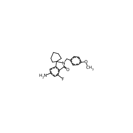 COc1ccc(CN2C(=O)c3c(F)cc(N)cc3C23CCCCC3)cc1